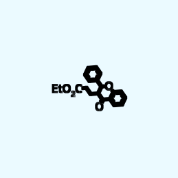 CCOC(=O)CCC1C(=O)c2ccccc2OC1c1ccccc1